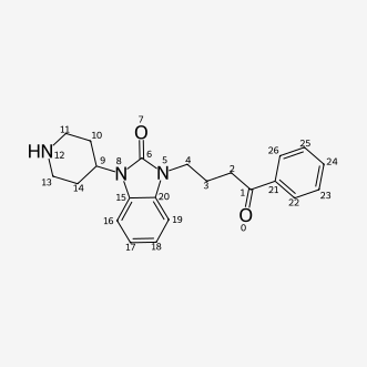 O=C(CCCn1c(=O)n(C2CCNCC2)c2ccccc21)c1ccccc1